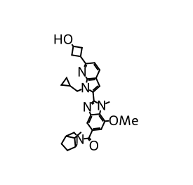 COc1cc(C(=O)N2CC3CCC2C3C)cc2nc(-c3cc4ccc(C5CC(O)C5)nc4n3CC3CC3)n(C)c12